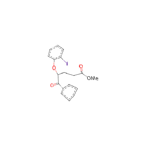 COC(=O)CCC(Oc1ccccc1I)C(=O)c1ccccc1